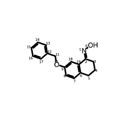 ON=C1CCCc2ccc(OCc3ccccc3)cc21